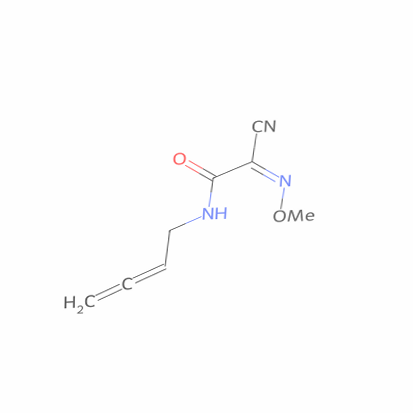 C=C=CCNC(=O)C(C#N)=NOC